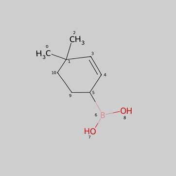 CC1(C)C=CC(B(O)O)CC1